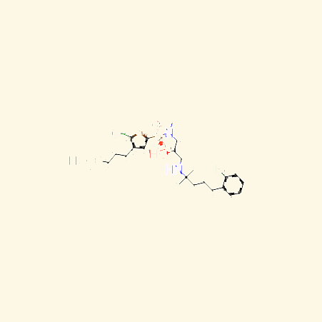 CN(C[C@H](O)CNC(C)(C)CCCc1ccccc1F)S(=O)(=O)c1cc(CCCC(=O)O)c(Cl)s1